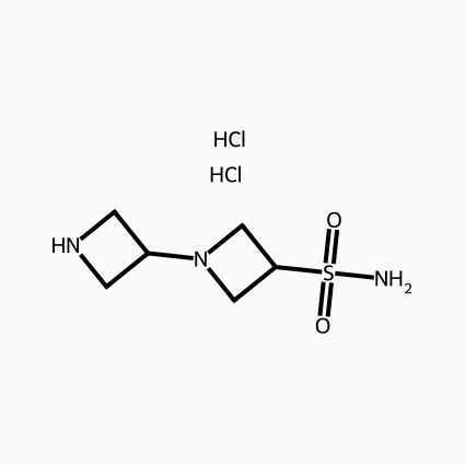 Cl.Cl.NS(=O)(=O)C1CN(C2CNC2)C1